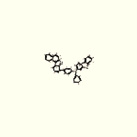 c1ccc(N(c2ccc(-c3cccc4c3oc3ccc5ccccc5c34)cc2)c2ccc3c(c2)oc2ccccc23)cc1